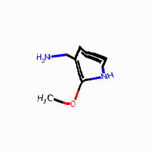 COc1[nH]ccc1N